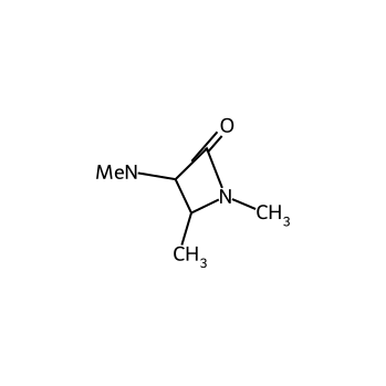 CNC1C(=O)N(C)C1C